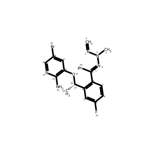 C=NN(C)/N=C(/c1ccc(F)cc1[C@H](C)Oc1cc(Br)cnc1N)C(C)C